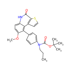 CCCN(C(=O)OC(C)(C)C)c1ccc(-c2c(OC)ccc3[nH]c(=O)c4sccc4c23)cc1